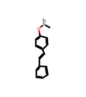 C[SiH](C)Oc1ccc(C=Cc2ccccc2)cc1